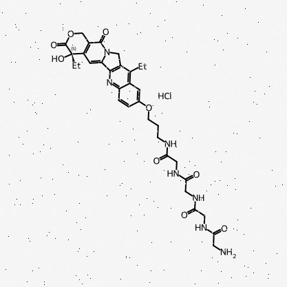 CCc1c2c(nc3ccc(OCCCNC(=O)CNC(=O)CNC(=O)CNC(=O)CN)cc13)-c1cc3c(c(=O)n1C2)COC(=O)[C@]3(O)CC.Cl